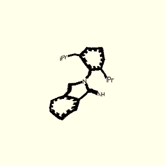 CC(C)c1cccc(C(C)C)c1N1Cc2ccccc2C1=N